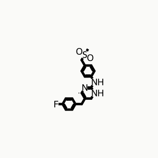 CS(=O)(=O)Cc1ccc(NC2=N[C]=C(Cc3ccc(F)cc3)CN2)cc1